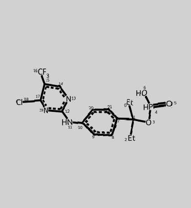 CCC(CC)(O[PH](=O)O)c1ccc(Nc2ncc(C(F)(F)F)c(Cl)n2)cc1